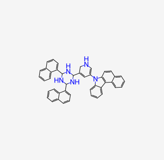 C1=C(C2NC(c3cccc4ccccc34)NC(c3cccc4ccccc34)N2)CNC=C1n1c2ccccc2c2c3ccccc3ccc21